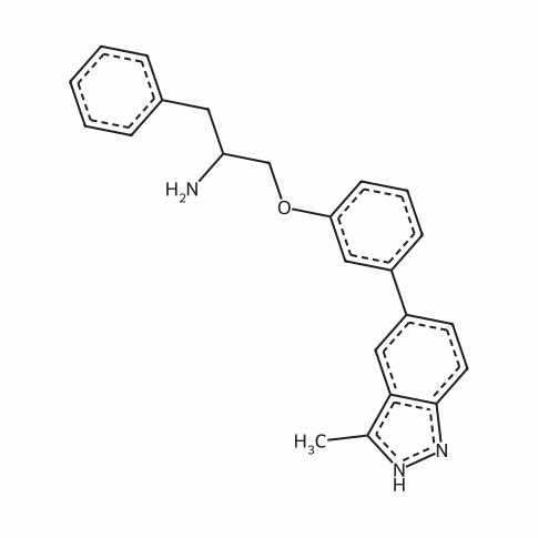 Cc1[nH]nc2ccc(-c3cccc(OCC(N)Cc4ccccc4)c3)cc12